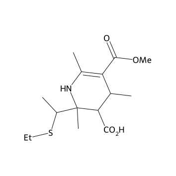 CCSC(C)C1(C)NC(C)=C(C(=O)OC)C(C)C1C(=O)O